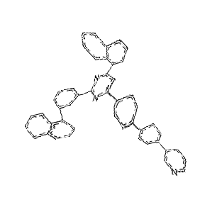 c1cncc(-c2ccc(-c3ccc(-c4cc(-c5cccc6ccccc56)nc(-c5cccc(-c6cccc7ccccc67)c5)n4)cc3)cc2)c1